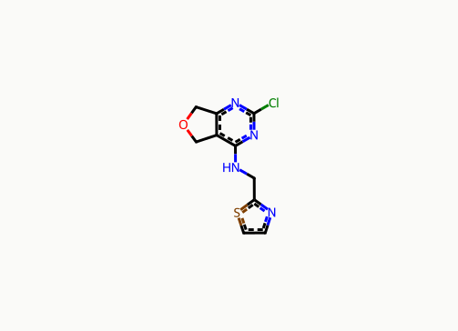 Clc1nc2c(c(NCc3nccs3)n1)COC2